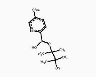 COc1ccc(B(O)OC(C)(C)C(C)(C)O)nc1